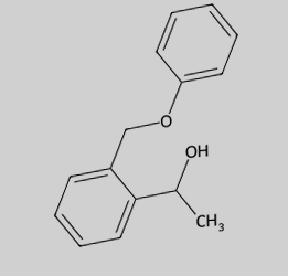 CC(O)c1ccccc1COc1ccccc1